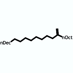 C=C(CCCCCCCC)CCCCCCCCCCCCCCCCCC